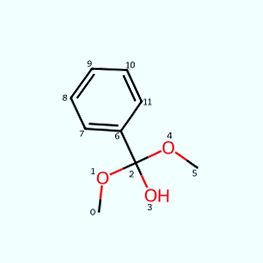 COC(O)(OC)c1ccccc1